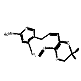 C=NC1=C(/C=C\Cc2cnc(NC(C)=O)cc2N)OC(C)(C)CO1